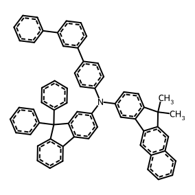 CC1(C)c2ccc(N(c3ccc(-c4cccc(-c5ccccc5)c4)cc3)c3ccc4c(c3)C(c3ccccc3)(c3ccccc3)c3ccccc3-4)cc2-c2cc3ccccc3cc21